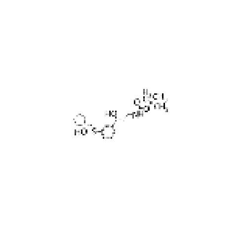 CC(C)(C)OC(=O)NCCC(O)c1cccc(SCC2(O)CCCC2)c1